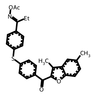 CCC(=NOC(C)=O)c1ccc(Sc2ccc(C(=O)c3oc4ccc(C)cc4c3C)cc2)cc1